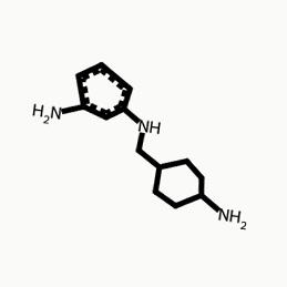 Nc1cccc(NCC2CCC(N)CC2)c1